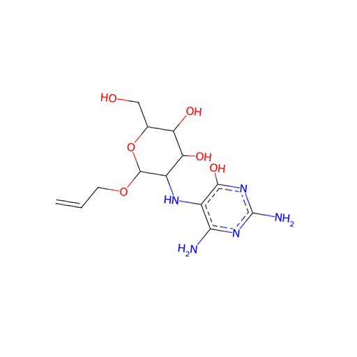 C=CCOC1OC(CO)C(O)C(O)C1Nc1c(N)nc(N)nc1O